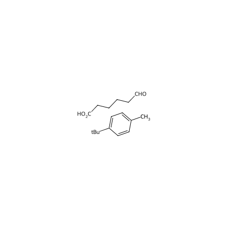 Cc1ccc(C(C)(C)C)cc1.O=CCCCCC(=O)O